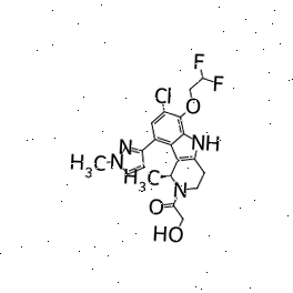 C[C@H]1c2c([nH]c3c(OCC(F)F)c(Cl)cc(-c4ccn(C)n4)c23)CCN1C(=O)CO